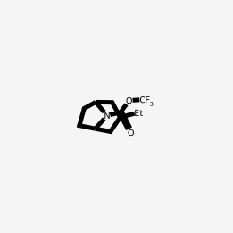 CCC1CC2CCC(C1)N2C(=O)OC(F)(F)F